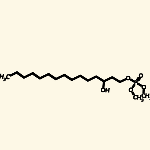 CCCCCCCCCCCCC(O)CCOP(=O)(OC)OC